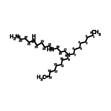 CCCCCCCCN(CCCCCCCC)CCCNCCCCNCCCN